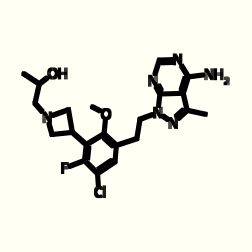 COc1c(CCn2nc(C)c3c(N)ncnc32)cc(Cl)c(F)c1C1CN(CC(C)O)C1